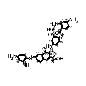 Nc1ccc(/N=N/c2ccc3c(c2)C(=O)/C(=N\Nc2ccc(/N=N/c4ccc(N)cc4N)c(S(=O)(=O)O)c2)C(S(=O)(=O)O)=C3)c(N)c1